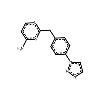 Nc1ccnc(Cc2ccc(-n3ccnn3)cc2)n1